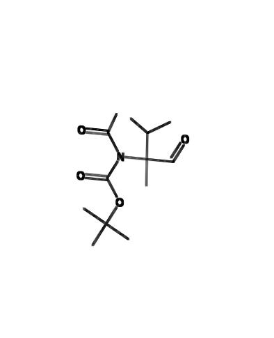 CC(=O)N(C(=O)OC(C)(C)C)C(C)(C=O)C(C)C